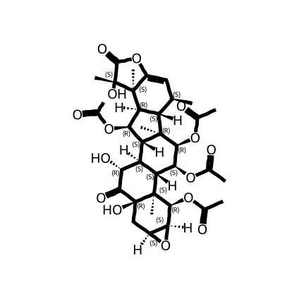 CC(=O)O[C@@H]1[C@H]2[C@H]3[C@H]([C@H](OC(C)=O)[C@H](OC(C)=O)[C@]2(C)[C@@H]2[C@@H]1[C@]1(C)C(=C[C@H]2C)OC(=O)[C@@]1(C)O)[C@@]1(C)[C@@H](OC(C)=O)[C@H]2O[C@H]2C[C@]1(O)C(=O)[C@@H]3O